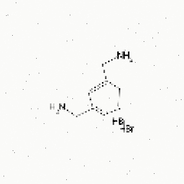 Br.Br.NCc1cccc(CN)c1